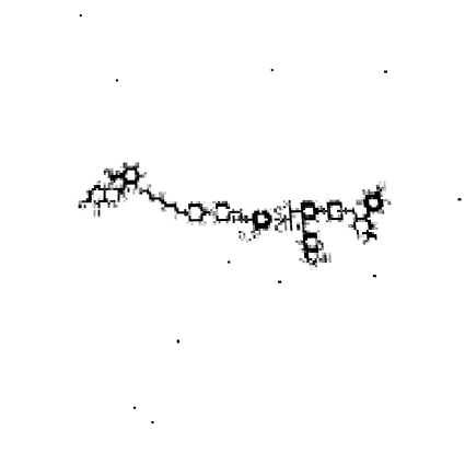 CC1(C)CCC(CN2CCN(c3ccc(C(=O)NS(=O)(=O)c4ccc(NCC5CCN(C6CCN(CCCCCCNc7cccc8c7C(=O)N(C7CCC(=O)NC7=O)C8=O)CC6)CC5)c([N+](=O)[O-])c4)c(Oc4cnc5[nH]ccc5c4)c3)CC2)=C(c2ccc(Cl)cc2)C1